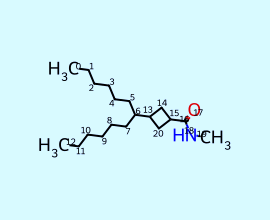 CCCCCCC(CCCCCC)C1CC(C(=O)NC)C1